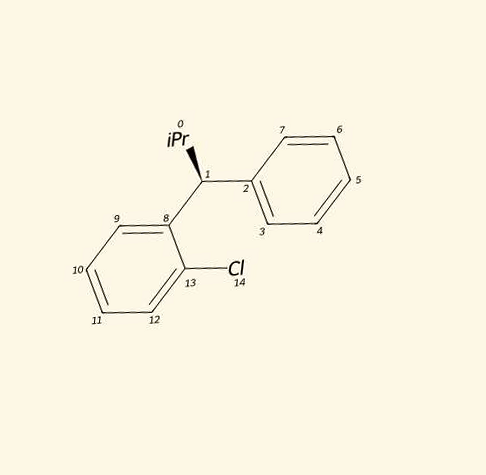 CC(C)[C@@H](c1ccccc1)c1ccccc1Cl